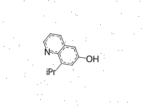 CC(C)c1cc(O)cc2cccnc12